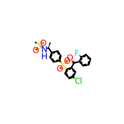 C[C@H](NS(C)(=O)=O)c1ccc(S(=O)(=O)c2ccc(Cl)cc2C(=O)c2ccccc2F)cc1